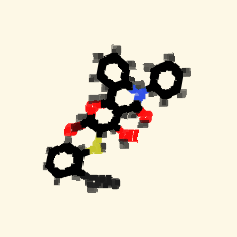 COc1ccccc1Sc1c(O)c2c(=O)n(-c3ccccc3)c3ccccc3c2oc1=O